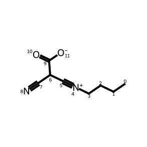 CCCC[N+]#CC(C#N)C(=O)[O-]